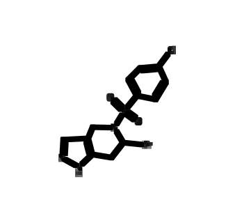 CC(C)C1Cc2[nH]ncc2CN1S(=O)(=O)c1ccc(Cl)cc1